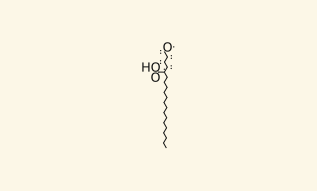 CCCCCCCCCCCCCCC[C]([C][C][C][C][O])C(=O)O